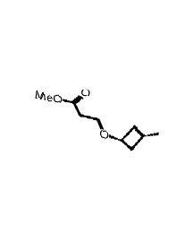 COC(=O)CCO[C@H]1C[C@@H](C)C1